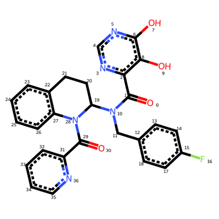 O=C(c1ncnc(O)c1O)N(Cc1ccc(F)cc1)C1CCc2ccccc2N1C(=O)c1ccccn1